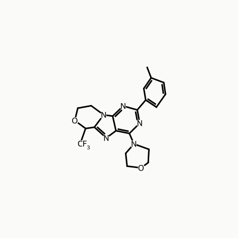 Cc1cccc(-c2nc(N3CCOCC3)c3nc4n(c3n2)CCOC4C(F)(F)F)c1